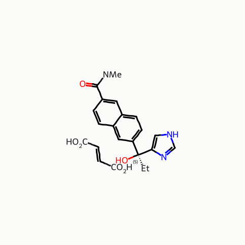 CC[C@](O)(c1ccc2cc(C(=O)NC)ccc2c1)c1c[nH]cn1.O=C(O)C=CC(=O)O